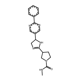 CNC(=O)N1CCC(C2=NCC(c3cnc(-c4ccccc4)nc3)N2)C1